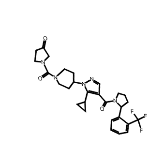 O=C1CCN(C(=O)N2CCC(n3ncc(C(=O)N4CCCC4c4ccccc4C(F)(F)F)c3C3CC3)CC2)C1